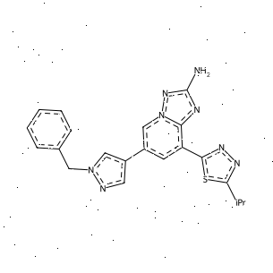 CC(C)c1nnc(-c2cc(-c3cnn(Cc4ccccc4)c3)cn3nc(N)nc23)s1